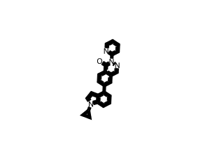 O=c1c2ccc(-c3cccc4c3ccn4C3CC3)cc2cnn1-c1ccccn1